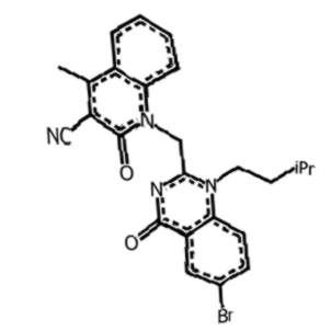 Cc1c(C#N)c(=O)n(Cc2nc(=O)c3cc(Br)ccc3n2CCC(C)C)c2ccccc12